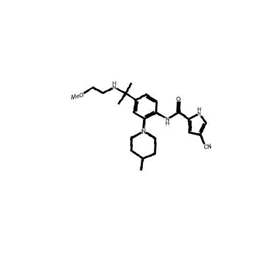 COCCNC(C)(C)c1ccc(NC(=O)c2cc(C#N)c[nH]2)c(N2CCC(C)CC2)c1